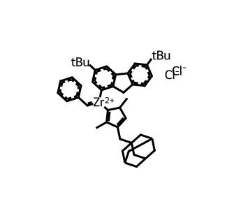 CC1=[C](/[Zr+2](=[CH]/c2ccccc2)[c]2cc(C(C)(C)C)cc3c2Cc2ccc(C(C)(C)C)cc2-3)C(C)C=C1CC12CC3CC(CC(C3)C1)C2.[Cl-].[Cl-]